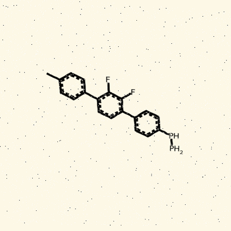 Cc1ccc(-c2ccc(-c3ccc(PP)cc3)c(F)c2F)cc1